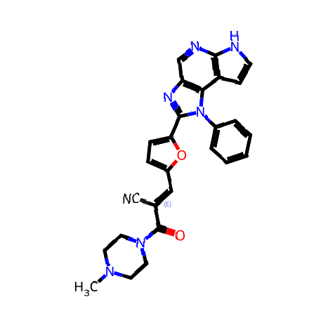 CN1CCN(C(=O)/C(C#N)=C/c2ccc(-c3nc4cnc5[nH]ccc5c4n3-c3ccccc3)o2)CC1